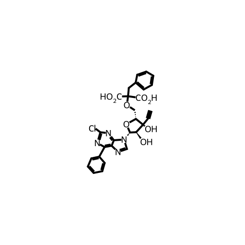 C#C[C@@]1(O)[C@@H](COC(Cc2ccccc2)(C(=O)O)C(=O)O)O[C@@H](n2cnc3c(-c4ccccc4)nc(Cl)nc32)[C@@H]1O